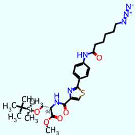 COC(=O)[C@H](CO[Si](C)(C)C(C)(C)C)NC(=O)c1csc(-c2ccc(NC(=O)CCCCCN=[N+]=[N-])cc2)n1